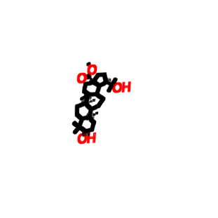 COC(=O)[C@]12CC[C@@H](C(C)(C)O)C1C1CCC3[C@@]4(C)CC[C@H](O)C(C)(C)C4CC[C@@]3(C)[C@]1(C)CC2